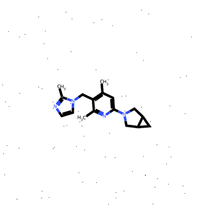 Cc1cc(N2CC3CC3C2)nc(C)c1Cn1ccnc1C